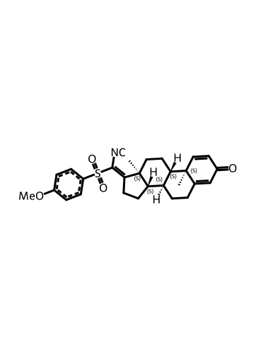 [C-]#[N+]C(=C1CC[C@H]2[C@@H]3CCC4=CC(=O)C=C[C@]4(C)[C@H]3CC[C@]12C)S(=O)(=O)c1ccc(OC)cc1